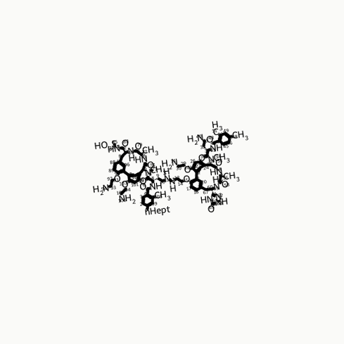 CCCCCCCc1ccc(C(=O)N[C@@H](CCNNCCOc2ccc3cc2-c2cc(ccc2OCCN)[C@H](N(C)C(=O)[C@H](CCN)NC(=O)c2ccc(C)cc2C)C(=O)N[C@@H](C)C(=O)N[C@H](c2n[nH]c(=O)[nH]2)C3)C(=O)N(C)[C@@H]2C(=O)N[C@@H](C)C(=O)N[C@H](C(=O)NS(=O)(=O)O)Cc3ccc(OCCN)c(c3)-c3cc2ccc3OCCN)c(C)c1